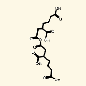 O=C(O)CCCC(CC(=O)OC(=O)CC(CCCC(=O)O)C(=O)O)C(=O)O